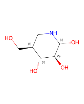 OC[C@H]1CN[C@H](O)[C@@H](O)[C@@H]1O